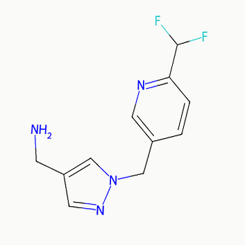 NCc1cnn(Cc2ccc(C(F)F)nc2)c1